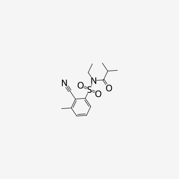 CCN(C(=O)C(C)C)S(=O)(=O)c1cccc(C)c1C#N